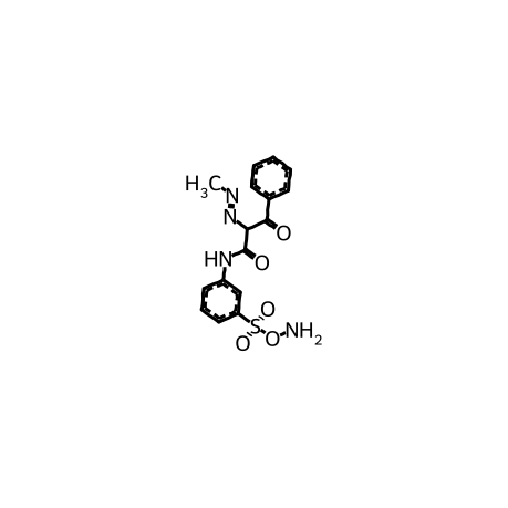 C/N=N/C(C(=O)Nc1cccc(S(=O)(=O)ON)c1)C(=O)c1ccccc1